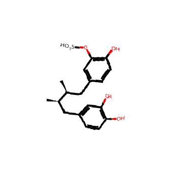 C[C@H](Cc1ccc(O)c(O)c1)[C@@H](C)Cc1ccc(O)c(OS(=O)(=O)O)c1